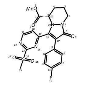 COC(=O)[C@@H]1CCCn2c(=O)c(-c3ccc(F)cc3)c(-c3ccnc(S(C)(=O)=O)n3)n21